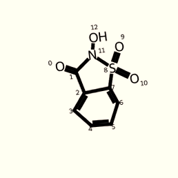 O=C1c2ccccc2S(=O)(=O)N1O